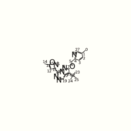 Cc1ccc(COc2nn3c(-c4cc(C)on4)nncc3c2C(C)(C)C)nc1